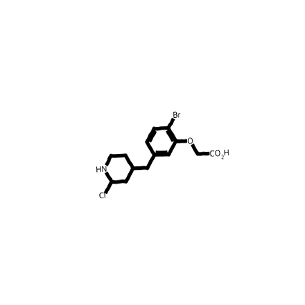 O=C(O)COc1cc(CC2CCNC(Cl)C2)ccc1Br